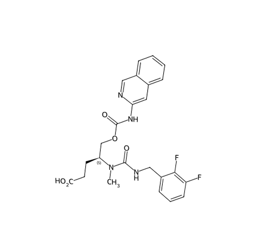 CN(C(=O)NCc1cccc(F)c1F)[C@@H](CCC(=O)O)COC(=O)Nc1cc2ccccc2cn1